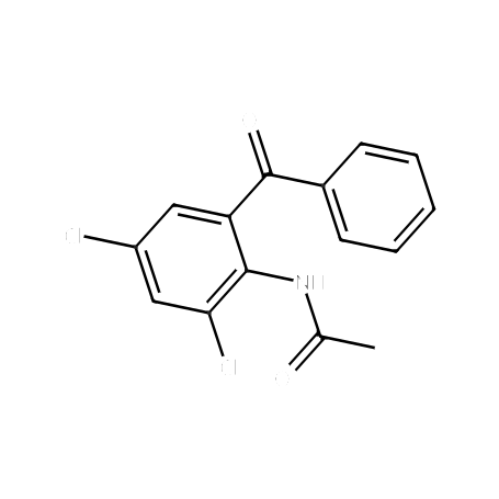 CC(=O)Nc1c(Cl)cc(Cl)cc1C(=O)c1ccccc1